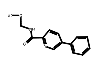 CCOCNC(=O)c1ccc(-c2ccccc2)cn1